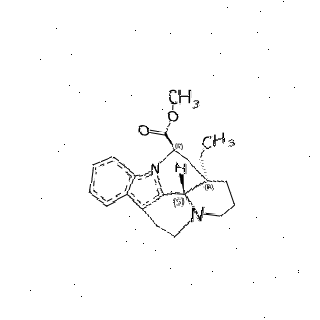 CC[C@@]12CCCN3CCc4c(n(c5ccccc45)[C@@H](C(=O)OC)C1)[C@@H]32